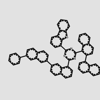 c1ccc(-c2ccc3ccc(-c4ccc5cccc(-c6nc(-c7c(-c8cccc9ccccc89)ccc8ccccc78)nc(-c7cccc8c7sc7ccccc78)n6)c5c4)cc3c2)cc1